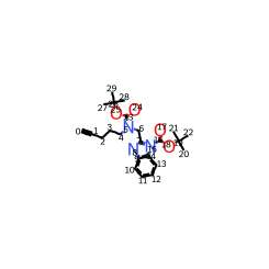 C#CCCCN(Cc1nc2ccccc2n1C(=O)OC(C)(C)C)C(=O)OC(C)(C)C